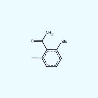 CCCCc1cccc(I)c1C(N)=O